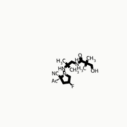 CC(=O)[C@@]1(C#N)C[C@H](F)CN1NC(C)(C)CNC(=O)C(C)(C)CO